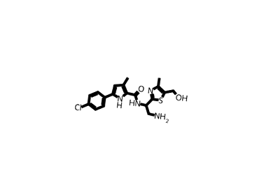 Cc1cc(-c2ccc(Cl)cc2)[nH]c1C(=O)NC(CN)c1nc(C)c(CO)s1